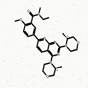 CCN(C)C(=O)c1cc(-c2ccc3c(N4CCOC[C@@H]4C)nc(N4CCOC[C@@H]4C)nc3n2)ccc1OC